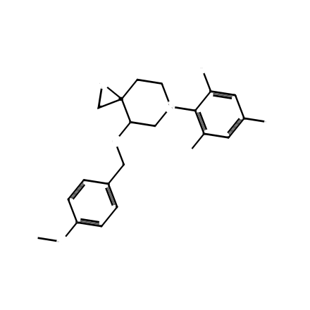 COc1ccc(COC2CN(c3c(F)cc(Cl)cc3F)CCC23CO3)cc1